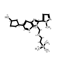 Cn1nccc1-c1nc2cc(C3CCC(O)C3)cnc2n1COCC[Si](C)(C)C